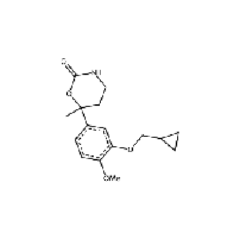 COc1ccc(C2(C)CCNC(=O)O2)cc1OCC1CC1